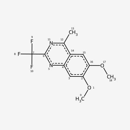 COc1cc2nc(C(F)(F)F)nc(C)c2cc1OC